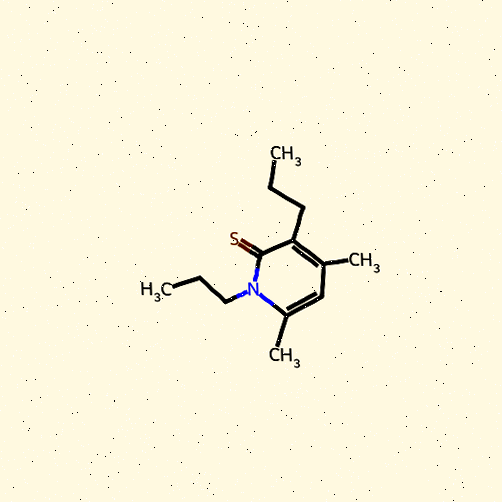 CCCc1c(C)cc(C)n(CCC)c1=S